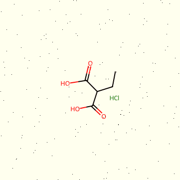 CCC(C(=O)O)C(=O)O.Cl